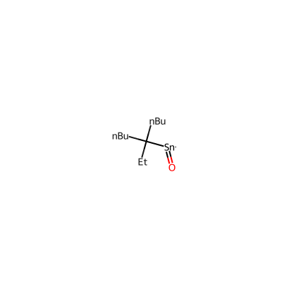 CCCC[C](CC)(CCCC)[Sn]=[O]